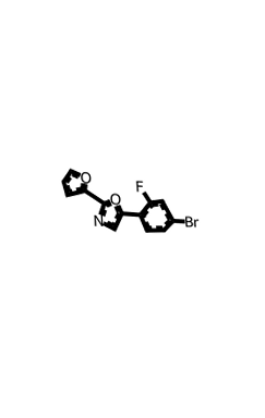 Fc1cc(Br)ccc1-c1cnc(-c2ccco2)o1